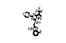 Fc1cccc2[nH]c(CNc3nc(N4CCOCC4)nc4c(C(F)(F)F)cnn34)nc12